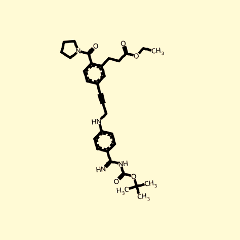 CCOC(=O)CCc1cc(C#CCNc2ccc(C(=N)NC(=O)OC(C)(C)C)cc2)ccc1C(=O)N1CCCC1